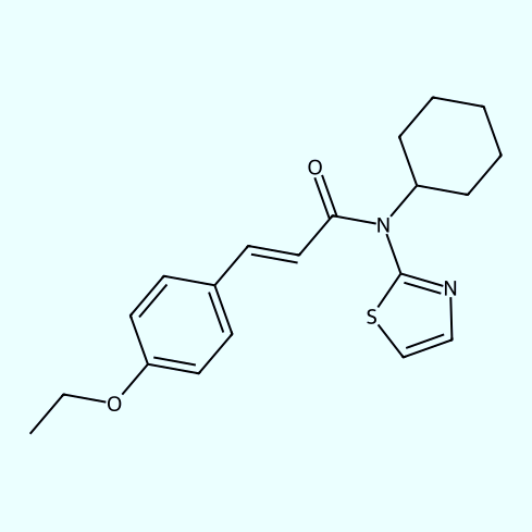 CCOc1ccc(/C=C/C(=O)N(c2nccs2)C2CCCCC2)cc1